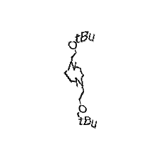 CC(C)(C)COCCN1CCN(CCOC(C)(C)C)CC1